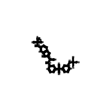 CS(=O)(=O)Nc1ccc2cc(C(=O)Nc3cccc(S(=O)(=O)c4cccc(OC(F)(F)F)c4)c3)[nH]c2c1